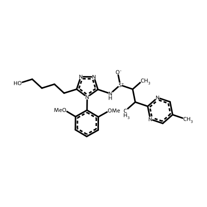 COc1cccc(OC)c1-n1c(CCCCO)nnc1N[S+]([O-])C(C)C(C)c1ncc(C)cn1